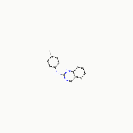 [CH2]c1ccc(Nc2ncc3ccccc3n2)cc1